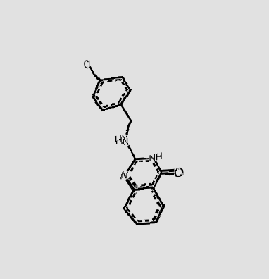 O=c1[nH]c(NCc2ccc(Cl)cc2)nc2ccccc12